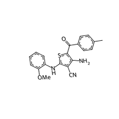 COc1ccccc1Nc1sc(C(=O)c2ccc(C)cc2)c(N)c1C#N